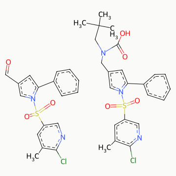 Cc1cc(S(=O)(=O)n2cc(C=O)cc2-c2ccccc2)cnc1Cl.Cc1cc(S(=O)(=O)n2cc(CN(CC(C)(C)C)C(=O)O)cc2-c2ccccc2)cnc1Cl